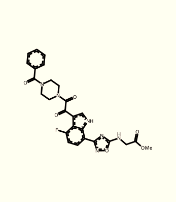 COC(=O)CNc1nc(-c2ccc(F)c3c(C(=O)C(=O)N4CCN(C(=O)c5ccccc5)CC4)c[nH]c23)no1